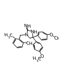 COc1ccc(C2(c3ccc(OC)cc3)CN(Cc3c(C)cccc3C)C(=N)N2)cc1